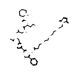 CC[C@H](C)[C@H](NC(=O)[C@H]1CCCCN1C)C(=O)N(C)[C@H](C[C@@H](OC(C)=O)c1nc(C(=O)N[C@H](C)C(=NNC(=O)CCOCCOCCOCCN2C(=O)C=CC2=O)c2ccccc2)cs1)C(C)C